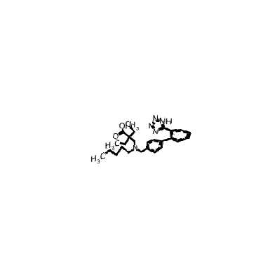 CCCCCN(Cc1ccc(-c2ccccc2-c2nnn[nH]2)cc1)CC(CC)(CC)C(=O)O